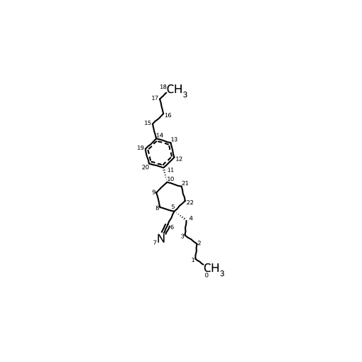 CCCCC[C@]1(C#N)CC[C@H](c2ccc(CCCC)cc2)CC1